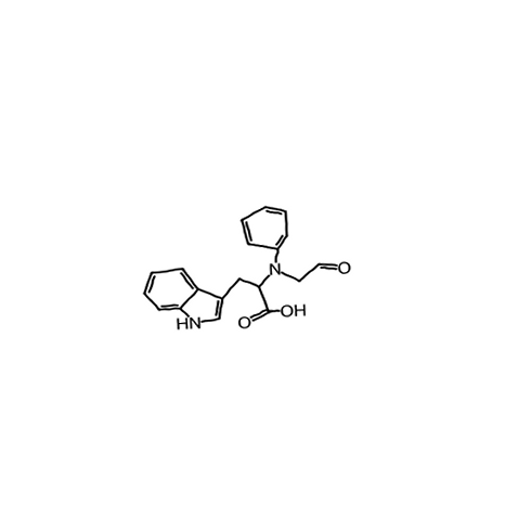 O=CCN(c1ccccc1)C(Cc1c[nH]c2ccccc12)C(=O)O